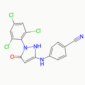 N#Cc1ccc(Nc2cc(=O)n(-c3c(Cl)cc(Cl)cc3Cl)[nH]2)cc1